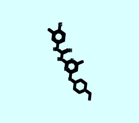 CCN1CCC(Oc2cc(C)nc(NC(=N)Nc3ccc(Cl)c(C)c3)n2)CC1